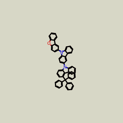 c1ccc(C(c2ccccc2)(c2ccccc2)c2cccc3c2c2ccccc2n3-c2ccc3c(c2)c2ccccc2n3-c2ccc3oc4ccccc4c3c2)cc1